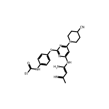 CCC(=O)Nc1ccc(Sc2nc(N/C(N)=C/C(C)=N)cc(N3CCC(C#N)CC3)n2)cc1